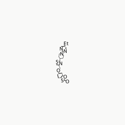 CCc1cnc(N2CCC(c3nc(COc4ccc5sc(=O)oc5c4)cs3)CC2)nc1